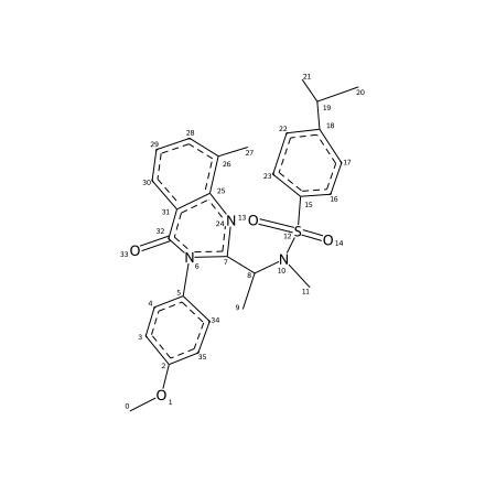 COc1ccc(-n2c(C(C)N(C)S(=O)(=O)c3ccc(C(C)C)cc3)nc3c(C)cccc3c2=O)cc1